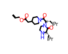 C=CCOC(=O)CC1CCN(C(=O)[C@H](CC(C)C)N2CCN[C@@H](CC(C)C)C2=O)CC1